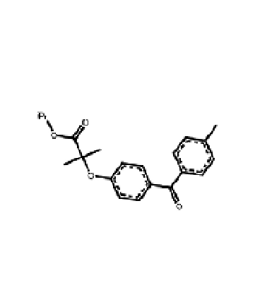 Cc1ccc(C(=O)c2ccc(OC(C)(C)C(=O)OC(C)C)cc2)cc1